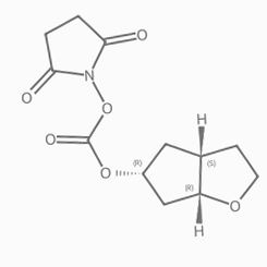 O=C(O[C@@H]1C[C@@H]2CCO[C@@H]2C1)ON1C(=O)CCC1=O